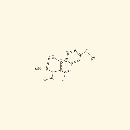 COC(=O)C(OC(C)(C)C)c1c(C)cc2nc(CO)ccc2c1Br